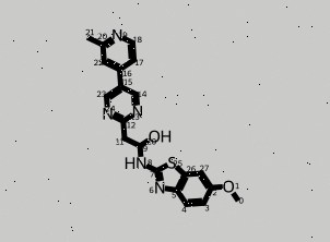 COc1ccc2nc(NC(O)Cc3ncc(-c4ccnc(C)c4)cn3)sc2c1